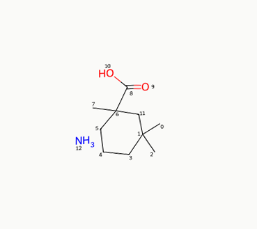 CC1(C)CCCC(C)(C(=O)O)C1.N